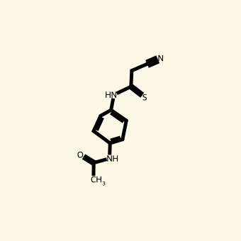 CC(=O)Nc1ccc(NC(=S)CC#N)cc1